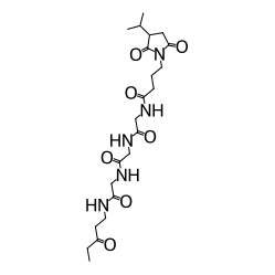 CCC(=O)CCNC(=O)CNC(=O)CNC(=O)CNC(=O)CCCN1C(=O)CC(C(C)C)C1=O